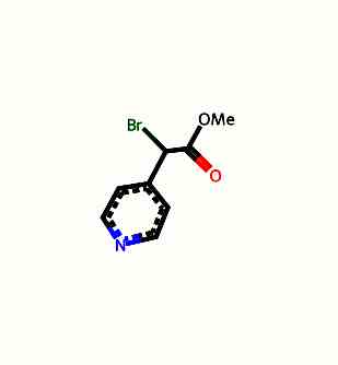 COC(=O)C(Br)c1ccncc1